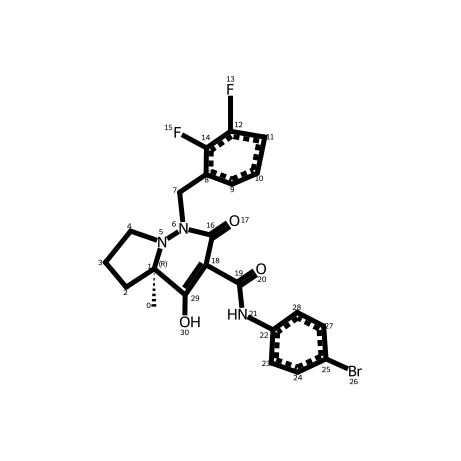 C[C@]12CCCN1N(Cc1cccc(F)c1F)C(=O)C(C(=O)Nc1ccc(Br)cc1)=C2O